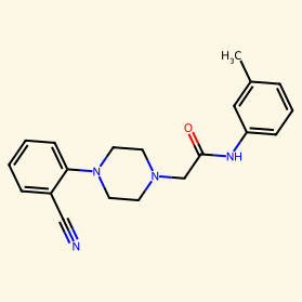 Cc1cccc(NC(=O)CN2CCN(c3ccccc3C#N)CC2)c1